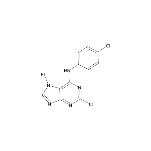 CCn1cnc2nc(Cl)nc(Nc3ccc(Cl)cc3)c21